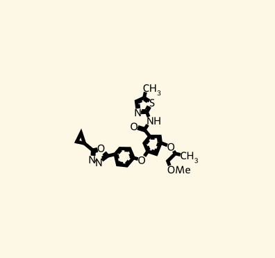 COCC(C)Oc1cc(Oc2ccc(-c3nnc(C4CC4)o3)cc2)cc(C(=O)Nc2ncc(C)s2)c1